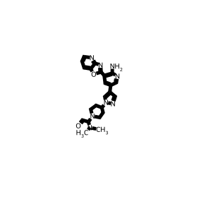 CN(C)C(C=O)N1CCC(n2cc(-c3cnc(N)c(-c4nc5ncccc5o4)c3)cn2)CC1